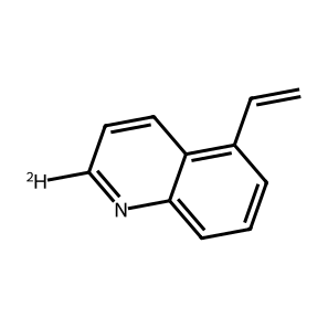 [2H]c1ccc2c(C=C)cccc2n1